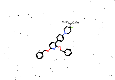 COC(OC)C1(F)CCN(c2ccc(-c3ccc(OCc4ccccc4)nc3OCc3ccccc3)cc2)CC1